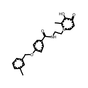 Cc1cccc(COc2ccc(C(=O)NCCn3ccc(=O)c(O)c3C)cc2)c1